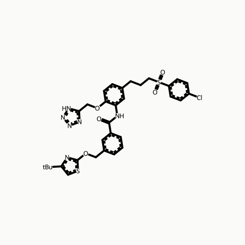 CC(C)(C)c1csc(OCc2cccc(C(=O)Nc3cc(CCCS(=O)(=O)c4ccc(Cl)cc4)ccc3OCc3nnn[nH]3)c2)n1